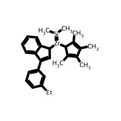 CCc1cccc(C2=C[CH]([Zr]([CH]3C(C)=C(C)C(C)=C3C)=[Si](C)C)c3ccccc32)c1